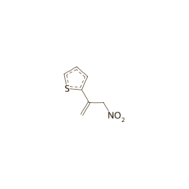 C=C(C[N+](=O)[O-])c1cccs1